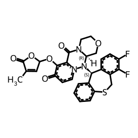 CC1=CC(Oc2c3n(ccc2=O)N([C@@H]2c4ccccc4SCc4c2ccc(F)c4F)[C@@H]2COCCN2C3=O)OC1=O